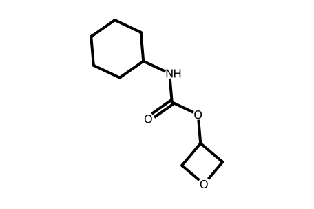 O=C(NC1CCCCC1)OC1COC1